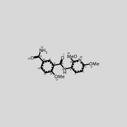 COc1ccc(NC(=O)c2cc(C(N)=O)ccc2OC)c(OC)n1